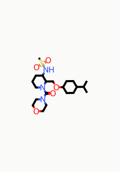 CC(C)C1CCC(OCC2C(NS(C)(=O)=O)CCCN2C(=O)N2CCOCC2)CC1